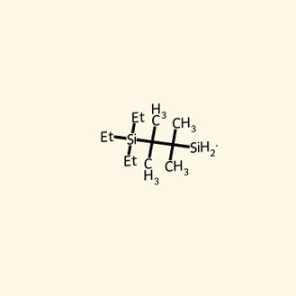 CC[Si](CC)(CC)C(C)(C)C(C)(C)[SiH2]